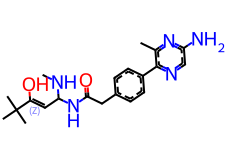 CNC(/C=C(\O)C(C)(C)C)NC(=O)Cc1ccc(-c2ncc(N)nc2C)cc1